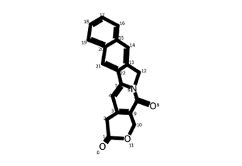 O=C1Cc2cc3n(c(=O)c2CO1)Cc1cc2ccccc2cc1-3